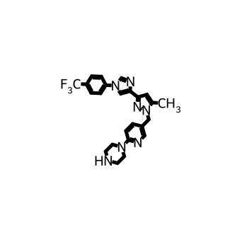 Cc1cc(-c2cn(-c3ccc(C(F)(F)F)cc3)cn2)nn1Cc1ccc(N2CCNCC2)nc1